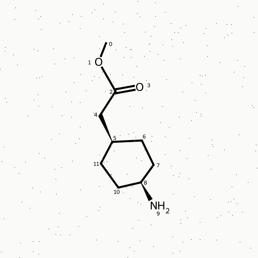 COC(=O)C[C@H]1CC[C@@H](N)CC1